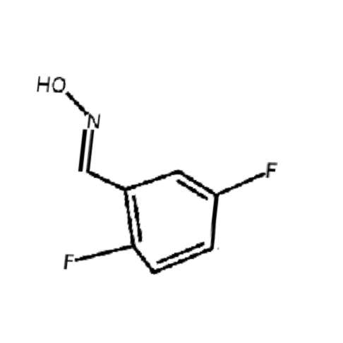 ON=Cc1cc(F)[c]cc1F